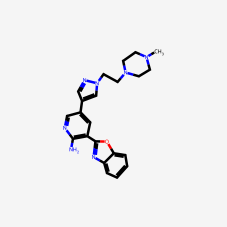 CN1CCN(CCn2cc(-c3cnc(N)c(-c4nc5ccccc5o4)c3)cn2)CC1